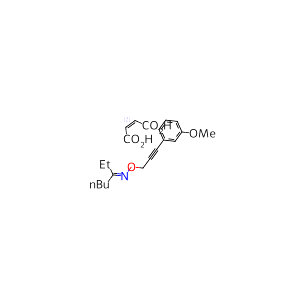 CCCCC(CC)=NOCC#Cc1cccc(OC)c1.O=C(O)/C=C\C(=O)O